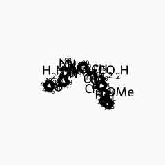 C=C(COc1c(Cl)cc(C(OC)=C2[C@H]3CC4CC(C3)C[C@@H]2C4)cc1/C=C/C(=O)O)C(=O)N1CCC[C@@H](n2nc(-c3ccc(Oc4ccccc4)cc3)c3c(N)ncnc32)C1